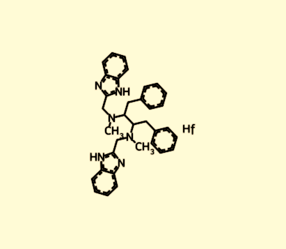 CN(Cc1nc2ccccc2[nH]1)C(Cc1ccccc1)C(Cc1ccccc1)N(C)Cc1nc2ccccc2[nH]1.[Hf]